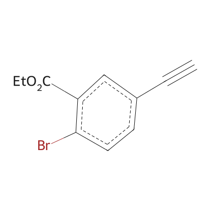 C#Cc1ccc(Br)c(C(=O)OCC)c1